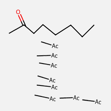 CC(C)=O.CC(C)=O.CC(C)=O.CC(C)=O.CC(C)=O.CC(C)=O.CC(C)=O.CC(C)=O.CCCCCCC(C)=O